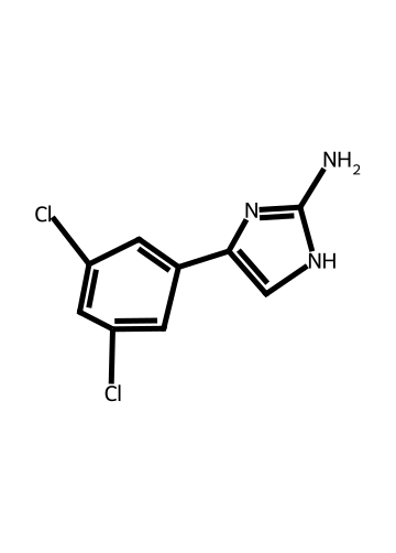 Nc1nc(-c2cc(Cl)cc(Cl)c2)c[nH]1